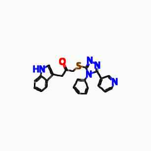 O=C(CSc1nnc(-c2cccnc2)n1-c1ccccc1)Cc1c[nH]c2ccccc12